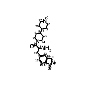 CN1CCC(C2CCN(C(=O)C(N)Cc3ccc4c(cnn4C)c3)CC2)CC1